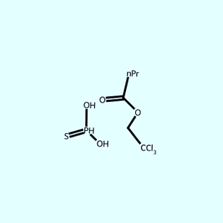 CCCC(=O)OCC(Cl)(Cl)Cl.O[PH](O)=S